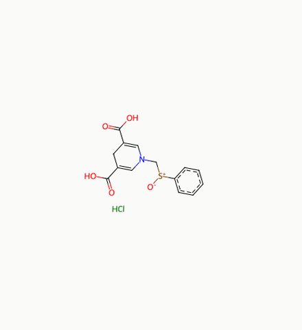 Cl.O=C(O)C1=CN(C[S+]([O-])c2ccccc2)C=C(C(=O)O)C1